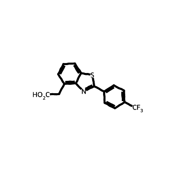 O=C(O)Cc1cccc2sc(-c3ccc(C(F)(F)F)cc3)nc12